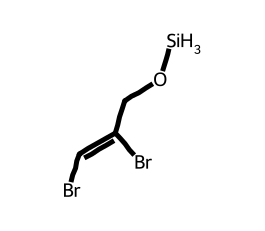 [SiH3]OCC(Br)=CBr